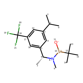 CC(C)c1cc([C@@H](C)N(C)[S+]([O-])C(C)(C)C)cc(C(F)(F)F)c1